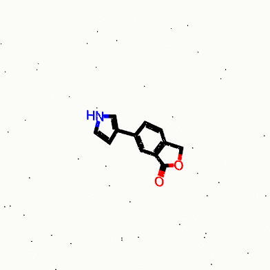 O=C1OCc2ccc(-c3cc[nH]c3)cc21